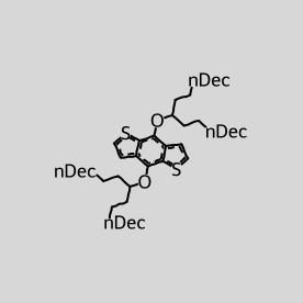 CCCCCCCCCCCCC(CCCCCCCCCCCC)Oc1c2ccsc2c(OC(CCCCCCCCCCCC)CCCCCCCCCCCC)c2ccsc12